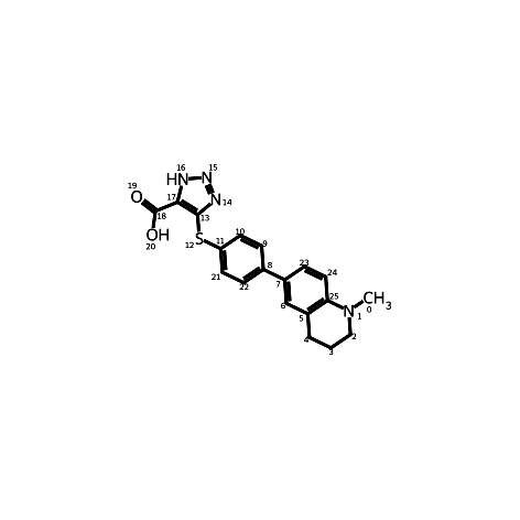 CN1CCCc2cc(-c3ccc(Sc4nn[nH]c4C(=O)O)cc3)ccc21